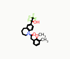 COc1c(C)cccc1CC(=O)N1CCCCc2cc(C(O)(F)C(F)(F)F)ccc21